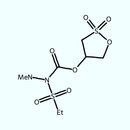 CCS(=O)(=O)N(NC)C(=O)OC1COS(=O)(=O)C1